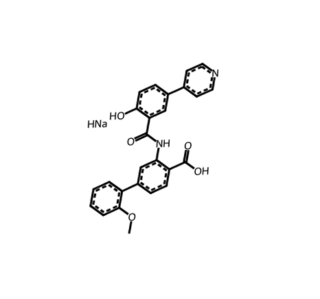 COc1ccccc1-c1ccc(C(=O)O)c(NC(=O)c2cc(-c3ccncc3)ccc2O)c1.[NaH]